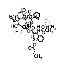 CCCC(=O)OCC(=O)O[C@@H](C(=O)O[C@H]1C[C@]2(O)[C@@H](C)C(=C1C)[C@@H](O)C(=O)[C@@]1(C)[C@H]([C@@H]2OC(=O)c2ccccc2)[C@]2(OC(C)=O)CO[C@@H]2C[C@@H]1O)[C@@H](NC(=O)OC(C)(C)C)c1ccccc1